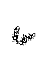 O=C(N1CCC2(CCN(Cc3ccc(CN4CCOCC4)cc3)C2)C1)n1cc(Cl)cn1